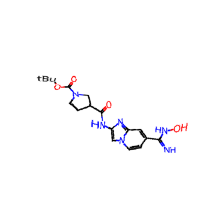 CC(C)(C)OC(=O)N1CCC(C(=O)Nc2cn3ccc(C(=N)NO)cc3n2)C1